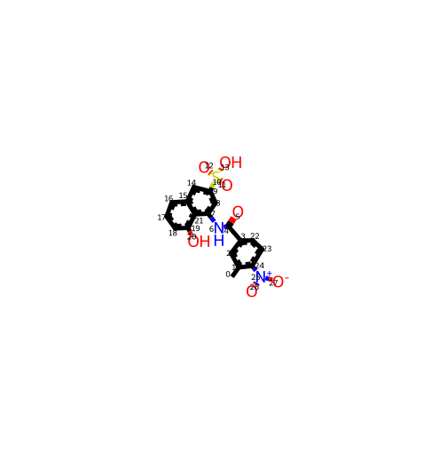 Cc1cc(C(=O)Nc2cc(S(=O)(=O)O)cc3cccc(O)c23)ccc1[N+](=O)[O-]